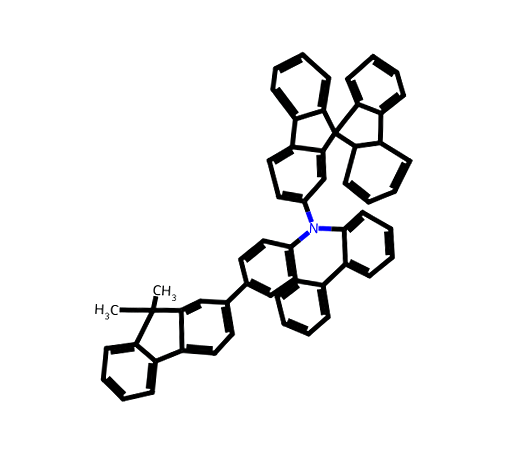 CC1(C)c2ccccc2-c2ccc(-c3ccc(N(c4ccc5c(c4)C4(c6ccccc6-5)c5ccccc5C5C=CC=CC54)c4ccccc4-c4ccccc4)cc3)cc21